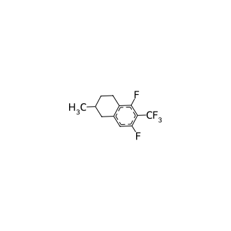 CC1CCc2c(cc(F)c(C(F)(F)F)c2F)C1